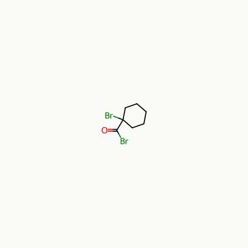 O=C(Br)C1(Br)CCCCC1